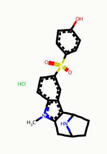 Cl.Cn1c2c(c3cc(S(=O)(=O)c4ccc(O)cc4)ccc31)C1CCC(C2)N1